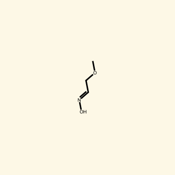 COCC=NO